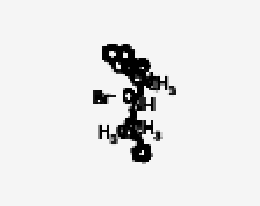 C[C@H](CCC(=O)NCCC[N+](C)(C)CCc1ccccc1)[C@H]1CCC2C3CCC4CCCC[C@]4(C)C3CC[C@@]21C.[Br-]